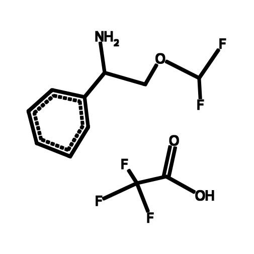 NC(COC(F)F)c1ccccc1.O=C(O)C(F)(F)F